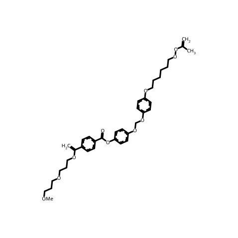 C=C(C)OOCCCCCCOc1ccc(OCOc2ccc(OC(=O)c3ccc(C(=C)OCCCOCCCOC)cc3)cc2)cc1